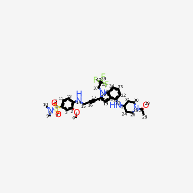 COc1cc(S(=O)(=O)N(C)C)ccc1NCC#Cc1cc2c(NC3CCN(C(C)=O)CC3)cccc2n1CC(F)(F)F